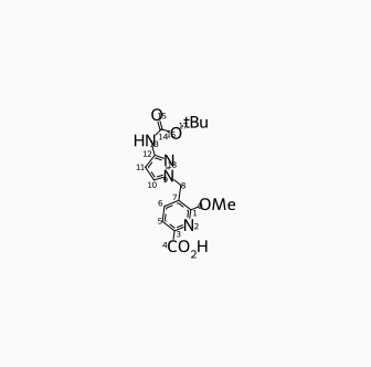 COc1nc(C(=O)O)ccc1Cn1ccc(NC(=O)OC(C)(C)C)n1